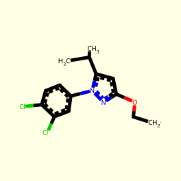 [CH2]COc1cc(C(C)C)n(-c2ccc(Cl)c(Cl)c2)n1